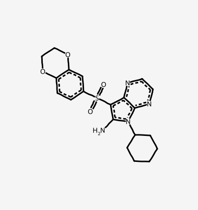 Nc1c(S(=O)(=O)c2ccc3c(c2)OCCO3)c2nccnc2n1C1CCCCC1